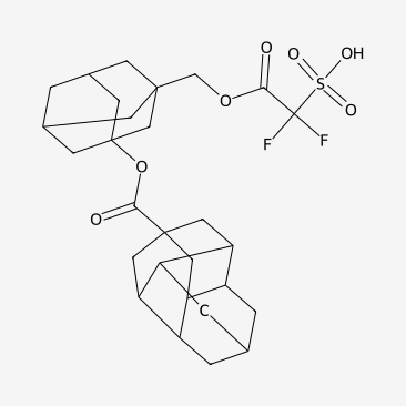 O=C(OC12CC3CC(CC(COC(=O)C(F)(F)S(=O)(=O)O)(C3)C1)C2)C12CC3C4CC5CC3C(C1)C(C5)C4C2